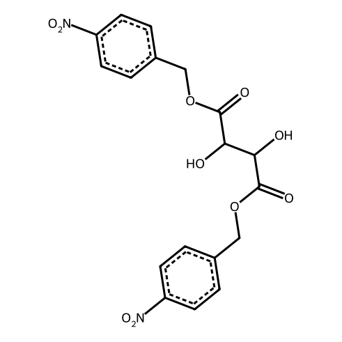 O=C(OCc1ccc([N+](=O)[O-])cc1)C(O)C(O)C(=O)OCc1ccc([N+](=O)[O-])cc1